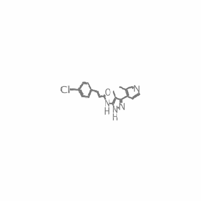 Cc1cnccc1-c1n[nH]c(NC(=O)C=Cc2ccc(Cl)cc2)c1C